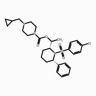 CC(OC(=O)N1CCN(CC2CC2)CC1)[C@H]1CCC[C@@H](c2ccccc2)N1S(=O)(=O)c1ccc(Cl)cc1